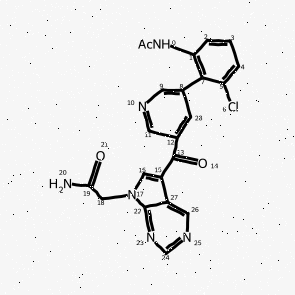 CC(=O)Nc1cccc(Cl)c1-c1cncc(C(=O)c2cn(CC(N)=O)c3ncncc23)c1